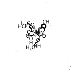 CNCCOC[C@H](NC[C@H](NC(=O)c1cc(C)on1)[C@@H](O)C=O)C(=O)NCc1ccc(C)cc1F.Cl